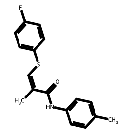 CC(=CSc1ccc(F)cc1)C(=O)Nc1ccc(C)cc1